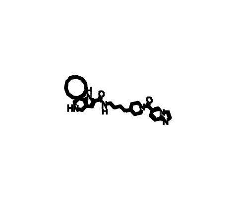 O=C(NCCCCC1CCN(C(=O)c2ccc3nccn3c2)CC1)c1cc2c([nH]1)C1(CCCCCCCCCC1)CNC2